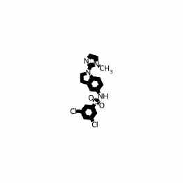 Cn1ccnc1N1CCc2cc(NS(=O)(=O)c3cc(Cl)cc(Cl)c3)ccc21